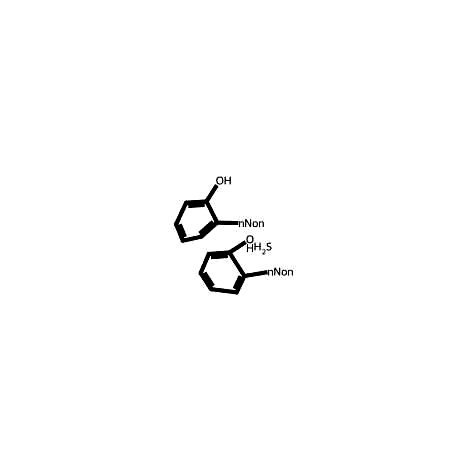 CCCCCCCCCc1ccccc1O.CCCCCCCCCc1ccccc1O.S